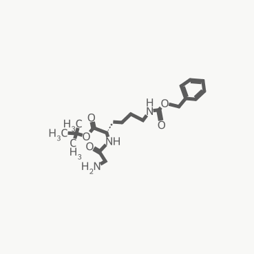 CC(C)(C)OC(=O)[C@H](CCCCNC(=O)OCc1ccccc1)NC(=O)CN